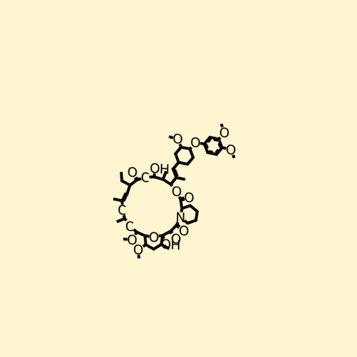 CCC1/C=C(\C)CC(C)CC(OC)C2OC(O)(C(=O)C(=O)N3CCCCC3C(=O)OC(C(C)=CC3CCC(Oc4ccc(OC)c(OC)c4)C(OC)C3)C(C)C(O)CC1=O)C(C)CC2OC